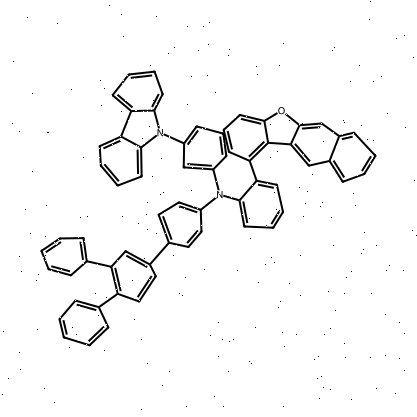 c1ccc(-c2ccc(-c3ccc(N(c4cccc(-n5c6ccccc6c6ccccc65)c4)c4ccccc4-c4cccc5oc6cc7ccccc7cc6c45)cc3)cc2-c2ccccc2)cc1